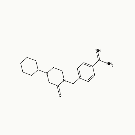 N=C(N)c1ccc(CN2CCN(C3CCCCC3)CC2=O)cc1